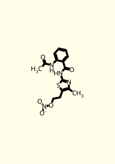 CC(=O)Nc1ccccc1C(=O)Nc1nc(C)c(CCO[N+](=O)[O-])s1